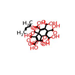 C=CC=C.O=C(O)C1=C(C(=O)O)C(C(=O)O)C(C(=O)O)(C(C(=O)O)=C(C(=O)O)C(=O)O)C(C(=O)O)=C1C(=O)O